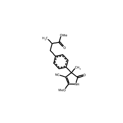 COC(=O)C(C)Cc1ccc(C2(C)C(=O)NC(OC)=C2C#N)cc1